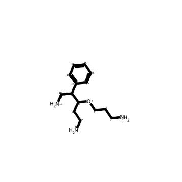 NCCCOC(CCN)C(CN)c1ccccc1